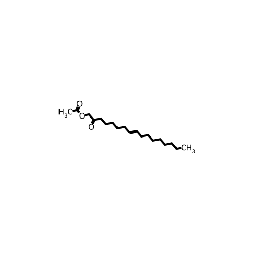 CCCCCCCCC=CCCCCCC(=O)COC(C)=O